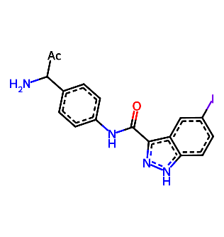 CC(=O)C(N)c1ccc(NC(=O)c2n[nH]c3ccc(I)cc23)cc1